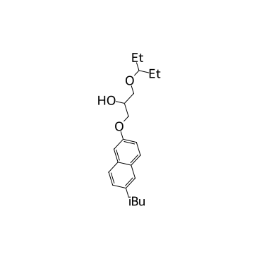 CCC(CC)OCC(O)COc1ccc2cc(C(C)CC)ccc2c1